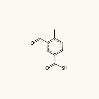 Cc1ccc(C(=O)S)cc1C=O